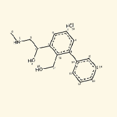 CNCC(O)c1cccc(-c2cccnc2)c1CO.Cl